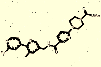 COC(=O)N1CCN(c2ccc(C(=O)NCc3cnc(-c4ccnc(C(F)(F)F)c4)c(F)c3)cn2)CC1